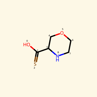 OC(=S)C1COCCN1